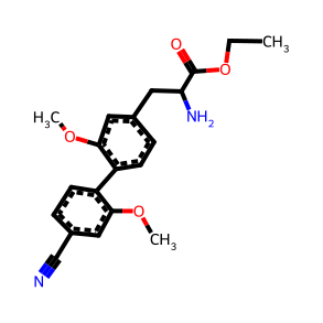 CCOC(=O)C(N)Cc1ccc(-c2ccc(C#N)cc2OC)c(OC)c1